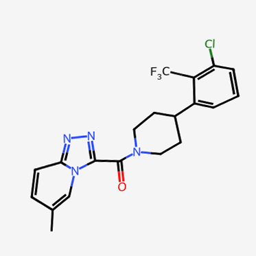 Cc1ccc2nnc(C(=O)N3CCC(c4cccc(Cl)c4C(F)(F)F)CC3)n2c1